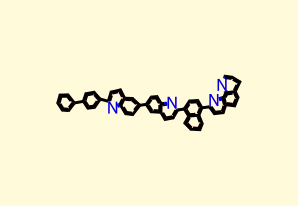 c1ccc(-c2ccc(-c3ccc4cc(-c5ccc6nc(-c7ccc(-c8ccc9ccc%10cccnc%10c9n8)c8ccccc78)ccc6c5)ccc4n3)cc2)cc1